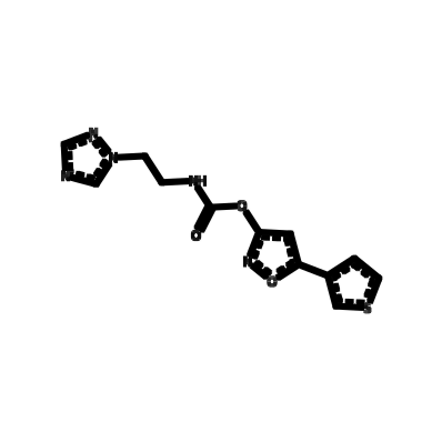 O=C(NCCn1cncn1)Oc1cc(-c2ccsc2)on1